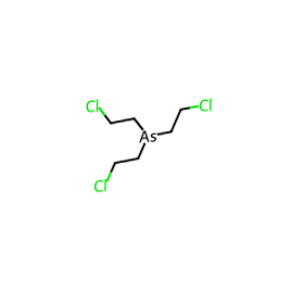 ClCC[As](CCCl)CCCl